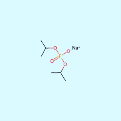 CC(C)OP(=O)([O-])OC(C)C.[Na+]